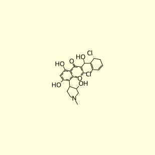 Cc1oc2c(C3CCN(C)CC3O)c(O)cc(O)c2c(=O)c1C(O)C1=C(Cl)C=CC[C@H]1Cl